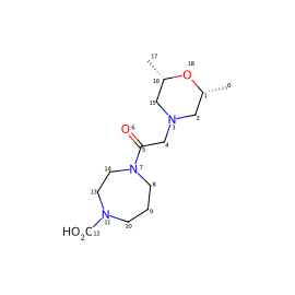 C[C@@H]1CN(CC(=O)N2CCCN(C(=O)O)CC2)C[C@H](C)O1